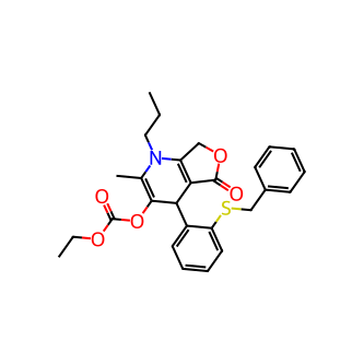 CCCN1C(C)=C(OC(=O)OCC)C(c2ccccc2SCc2ccccc2)C2=C1COC2=O